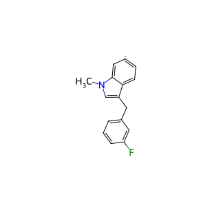 Cn1cc(Cc2cccc(F)c2)c2cc[c]cc21